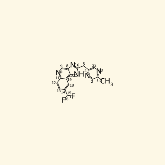 Cc1cnc(Cc2nc3cnc4ccc(C(F)F)cc4c3[nH]2)cn1